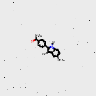 CCn1c(-c2ccc(C(=O)OC)cc2)c(C#N)c2cc(OC)ccc21